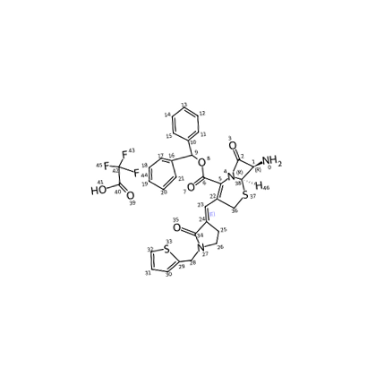 N[C@@H]1C(=O)N2C(C(=O)OC(c3ccccc3)c3ccccc3)=C(/C=C3\CCN(Cc4cccs4)C3=O)CS[C@H]12.O=C(O)C(F)(F)F